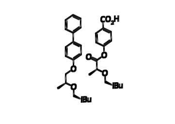 CC[C@H](C)CO[C@@H](C)C(=O)Oc1ccc(C(=O)O)cc1.CC[C@H](C)CO[C@@H](C)COc1ccc(-c2ccccc2)cc1